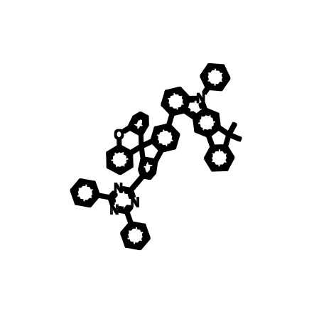 CC1(C)c2ccccc2-c2cc3c4c(-c5ccc6c(c5)C5(c7ccccc7Oc7ccccc75)c5cc(-c7nc(-c8ccccc8)nc(-c8ccccc8)n7)ccc5-6)cccc4n(-c4ccccc4)c3cc21